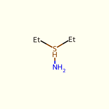 CC[SH](N)CC